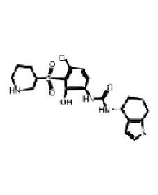 O=C(Nc1ccc(Cl)c(S(=O)(=O)C2CCCNC2)c1O)N[C@@H]1CCCc2sccc21